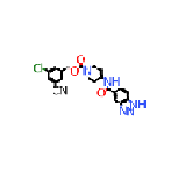 N#Cc1cc(Cl)cc(COC(=O)N2CCC(NC(=O)c3ccc4[nH]nnc4c3)CC2)c1